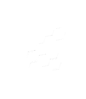 Cc1cc(C)c(OCCC2CNCCO2)c(Cc2c(Cl)cccc2Cl)c1